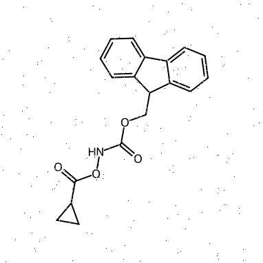 O=C(NOC(=O)C1CC1)OCC1c2ccccc2-c2ccccc21